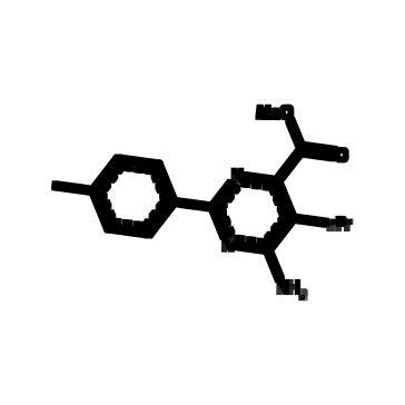 CCCc1c(N)nc(-c2ccc(C)cc2)nc1C(=O)OC